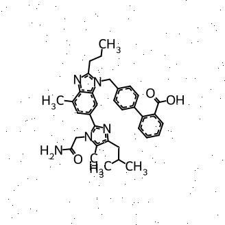 CCCc1nc2c(C)cc(-c3nc(CC(C)C)c(C)n3CC(N)=O)cc2n1Cc1ccc(-c2ccccc2C(=O)O)cc1